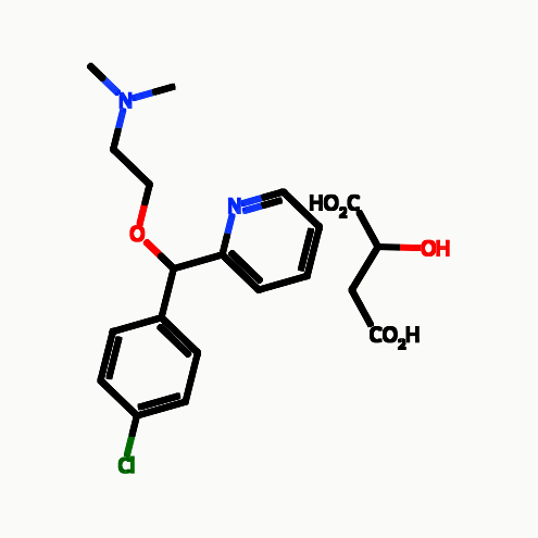 CN(C)CCOC(c1ccc(Cl)cc1)c1ccccn1.O=C(O)CC(O)C(=O)O